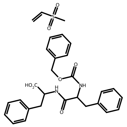 C=CS(C)(=O)=O.O=C(NC(Cc1ccccc1)C(=O)NC(Cc1ccccc1)C(=O)O)OCc1ccccc1